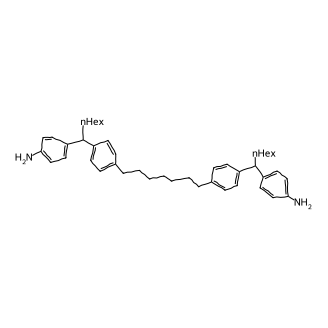 CCCCCCC(c1ccc(N)cc1)c1ccc(CCCCCCCc2ccc(C(CCCCCC)c3ccc(N)cc3)cc2)cc1